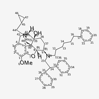 COc1ccc2c3c1O[C@H]1[C@H](N(CCCCCCc4ccccc4)CC(c4ccccc4)c4ccccc4)CC[C@@]4(O)[C@@H](C2)N(CC2CC2)CC[C@]314